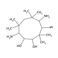 CC(C)C1C(N)C(C)(C)CC(C)(C)C(N)C(O)C(O)C1(C)C